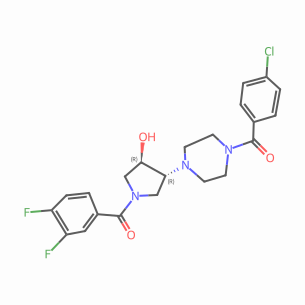 O=C(c1ccc(Cl)cc1)N1CCN([C@@H]2CN(C(=O)c3ccc(F)c(F)c3)C[C@H]2O)CC1